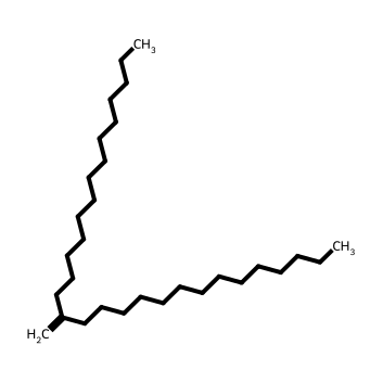 C=C(CCCCCCCCCCCCCC)CCCCCCCCCCCCCC